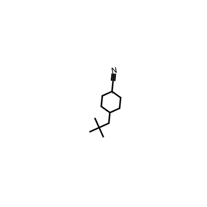 CC(C)(C)CC1CC[C](C#N)CC1